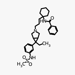 CCC1(c2cccc(NS(C)(=O)=O)c2)C2CN(CCCC3(NC(=O)c4ccccc4)CCCCC3)CC21